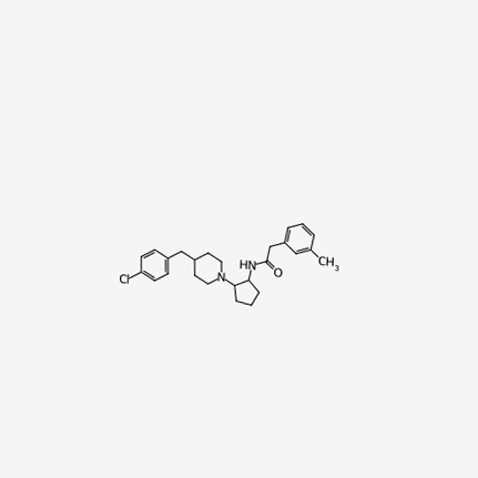 Cc1cccc(CC(=O)NC2CCCC2N2CCC(Cc3ccc(Cl)cc3)CC2)c1